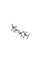 CC(C)N1CCN(CC[C@H]2CCN(C)C2)CC1